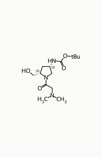 CN(C)CC(=O)N1C[C@@H](NC(=O)OC(C)(C)C)C[C@H]1CO